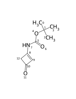 CC(C)(C)OC(=O)NC1=CC(=O)C1